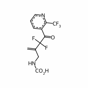 C=C(CNC(=O)O)C(F)(F)C(=O)c1cccnc1C(F)(F)F